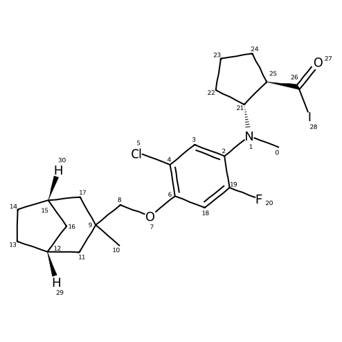 CN(c1cc(Cl)c(OCC2(C)C[C@@H]3CC[C@@H](C3)C2)cc1F)[C@@H]1CCC[C@H]1C(=O)I